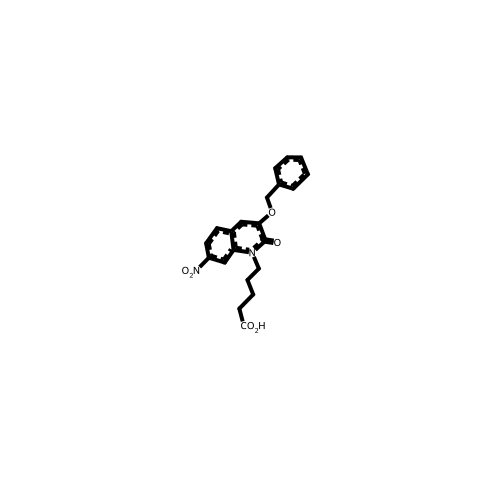 O=C(O)CCCCn1c(=O)c(OCc2ccccc2)cc2ccc([N+](=O)[O-])cc21